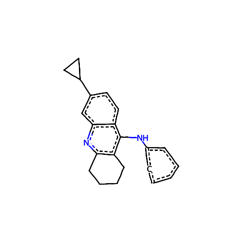 c1ccc(Nc2c3c(nc4cc(C5CC5)ccc24)CCCC3)cc1